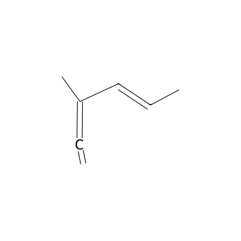 C=C=C(C)C=CC